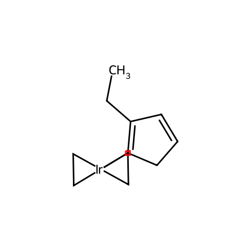 CCC1=[C]([Ir]23([CH2][CH2]2)[CH2][CH2]3)CC=C1